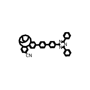 N#Cc1ccc2c(c1)-c1ccc(-c3ccc(-c4ccc(-c5nc(-c6ccccc6)nc(-c6ccccc6)n5)cc4)cc3)cc1CC1CC3CC(C2)CC(C1)C3